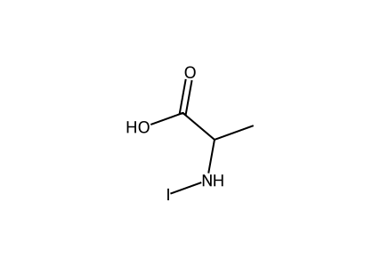 CC(NI)C(=O)O